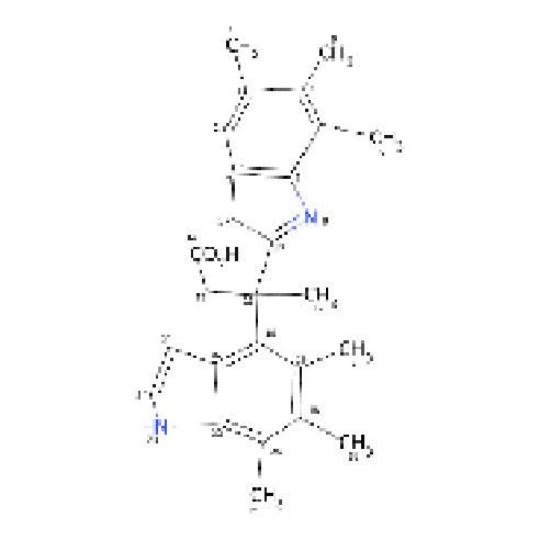 Cc1cc2c(c(C)c1C)N=C(C(C)(CC(=O)O)c1c(C)c(C)c(C)c3[nH]ccc13)C2